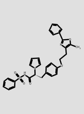 Cc1oc(-c2ccccc2)nc1CCOc1ccc(C[C@H](C(=O)NS(=O)(=O)c2ccccc2)n2cccc2)cc1